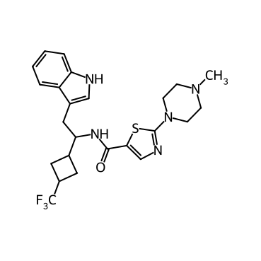 CN1CCN(c2ncc(C(=O)NC(Cc3c[nH]c4ccccc34)C3CC(C(F)(F)F)C3)s2)CC1